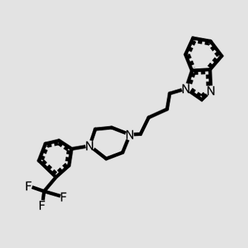 FC(F)(F)c1cccc(N2CCN(CCCCn3cnc4ccccc43)CC2)c1